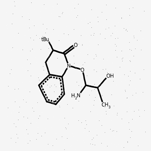 CC(O)C(N)ON1C(=O)C(C(C)(C)C)Cc2ccccc21